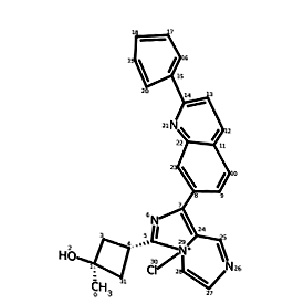 C[C@]1(O)C[C@H](C2=NC(c3ccc4ccc(-c5ccccc5)nc4c3)=C3C=NC=C[N+]32Cl)C1